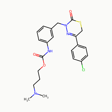 CN(C)CCCOC(=O)Nc1cccc(CN2N=C(c3ccc(Cl)cc3)CSC2=O)c1